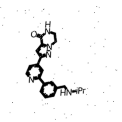 CC(C)NCc1cccc(-c2cc(-c3cc4n(n3)CCNC4=O)ccn2)c1